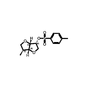 Cc1ccc(S(=O)(=O)O[C@@H]2CO[C@H]3[C@@H]2OC[C@@H]3C)cc1